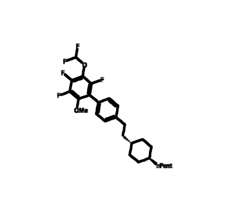 CCCCC[C@H]1CC[C@H](CCc2ccc(-c3c(F)c(OC(F)F)c(F)c(F)c3OC)cc2)CC1